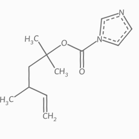 C=CC(C)CC(C)(C)OC(=O)n1ccnc1